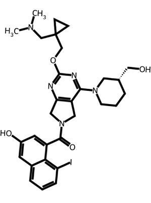 CN(C)CC1(COc2nc3c(c(N4CCC[C@@H](CO)C4)n2)CN(C(=O)c2cc(O)cc4cccc(I)c24)C3)CC1